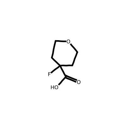 O=C(O)C1(F)CCOCC1